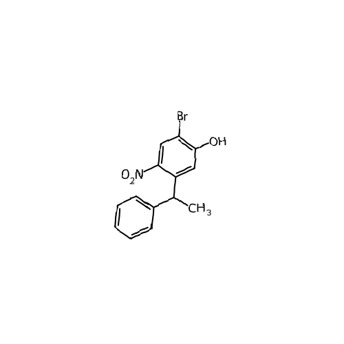 CC(c1ccccc1)c1cc(O)c(Br)cc1[N+](=O)[O-]